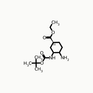 CCOC(=O)[C@H]1CCC(N)C(NC(=O)OC(C)(C)C)C1